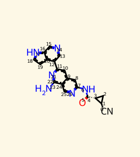 N#CC1C[C@H]1C(=O)Nc1cc2cc(-c3cncc4[nH]ccc34)nc(N)c2cn1